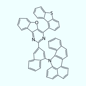 c1ccc2c(N3c4c(ccc5ccccc45)-c4cccc5cccc3c45)cc(-c3nc(-c4cccc5sc6ccccc6c45)c4oc5ccccc5c4n3)cc2c1